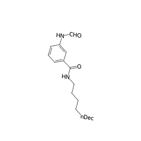 CCCCCCCCCCCCCCNC(=O)c1cccc(NC=O)c1